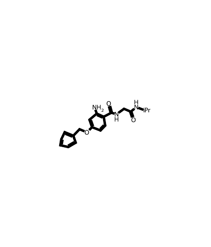 CC(C)NC(=O)CNC(=O)c1ccc(OCc2ccccc2)cc1N